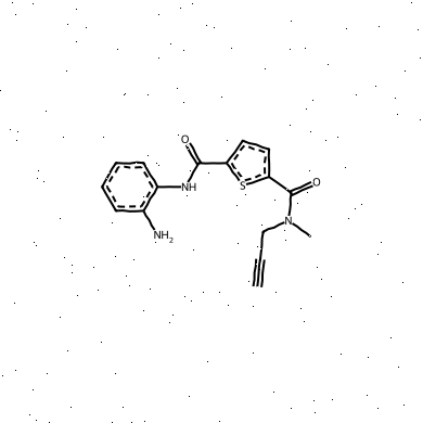 C#CCN(C)C(=O)c1ccc(C(=O)Nc2ccccc2N)s1